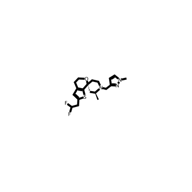 C[C@H]1C[C@@]2(CCN1Cc1ccn(C)n1)OCCc1cc(CC(F)F)sc12